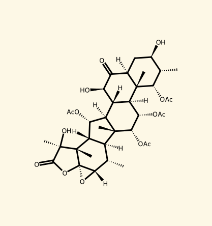 CC(=O)O[C@@H]1[C@H]2[C@H]3[C@H]([C@H](OC(C)=O)[C@H](OC(C)=O)[C@]2(C)[C@H]2[C@H](C)[C@@H]4O[C@@]45OC(=O)[C@@](C)(O)[C@]5(C)[C@H]12)[C@]1(C)[C@H](C[C@@H](O)[C@H](C)[C@@H]1OC(C)=O)C(=O)[C@@H]3O